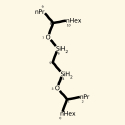 CCCCCCC(CCC)O[SiH2]C[SiH2]OC(CCC)CCCCCC